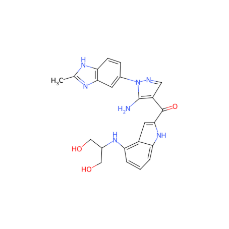 Cc1nc2cc(-n3ncc(C(=O)c4cc5c(NC(CO)CO)cccc5[nH]4)c3N)ccc2[nH]1